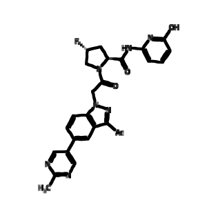 CC(=O)c1nn(CC(=O)N2C[C@H](F)C[C@H]2C(=O)Nc2cccc(O)n2)c2ccc(-c3cnc(C)nc3)cc12